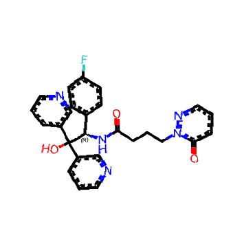 O=C(CCCn1ncccc1=O)N[C@H](c1ccc(F)cc1)C(O)(c1cccnc1)c1cccnc1